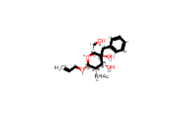 C=CCO[C@H]1O[C@H](CO)[C@](O)(Cc2ccccc2)[C@H](O)[C@@H]1NC(C)=O